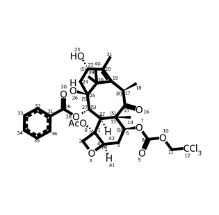 CC(=O)O[C@@]12CO[C@@H]1C[C@H](OC(=O)OCC(Cl)(Cl)Cl)[C@@]1(C)C(=O)[C@H](C)C3=C(C)[C@@H](O)C[C@@](O)([C@@H](OC(=O)c4ccccc4)[C@H]21)C3(C)C